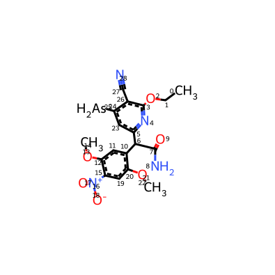 CCOc1nc(C(C(N)=O)c2cc(OC)c([N+](=O)[O-])cc2OC)cc([AsH2])c1C#N